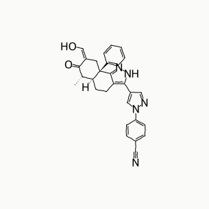 C[C@@H]1C(=O)/C(=C\O)C[C@]2(c3ccccc3)c3n[nH]c(-c4cnn(-c5ccc(C#N)cc5)c4)c3CC[C@@H]12